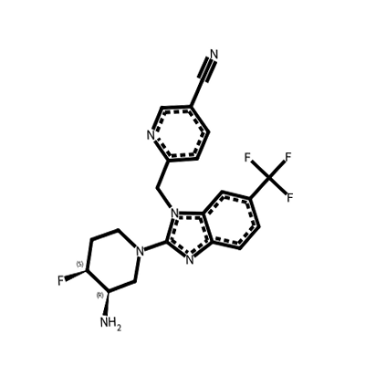 N#Cc1ccc(Cn2c(N3CC[C@H](F)[C@H](N)C3)nc3ccc(C(F)(F)F)cc32)nc1